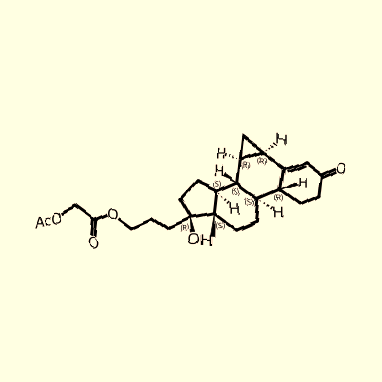 CC(=O)OCC(=O)OCCC[C@]1(O)CC[C@H]2[C@@H]3[C@H]4C[C@H]4C4=CC(=O)CC[C@@H]4[C@H]3CC[C@@]21C